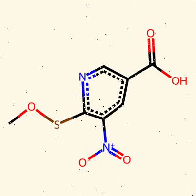 COSc1ncc(C(=O)O)cc1[N+](=O)[O-]